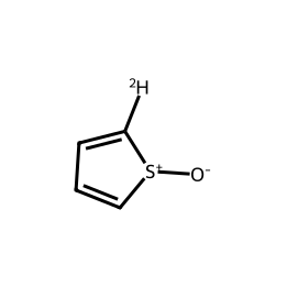 [2H]c1ccc[s+]1[O-]